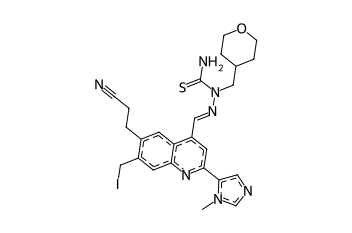 Cn1cncc1-c1cc(/C=N/N(CC2CCOCC2)C(N)=S)c2cc(CCC#N)c(CI)cc2n1